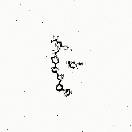 Cc1cc(C(F)(F)F)nn1CC(=O)N1CCC(c2nc(C3=NOC(c4cccc(-n5cncn5)c4)C3)cs2)CC1.[NaH].c1nc[nH]n1